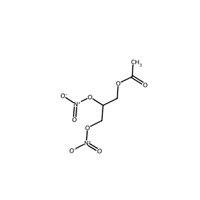 CC(=O)OCC(CO[N+](=O)[O-])O[N+](=O)[O-]